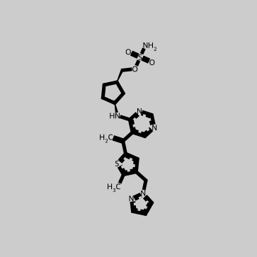 C=C(c1cc(Cn2cccn2)c(C)s1)c1cncnc1N[C@H]1CC[C@@H](COS(N)(=O)=O)C1